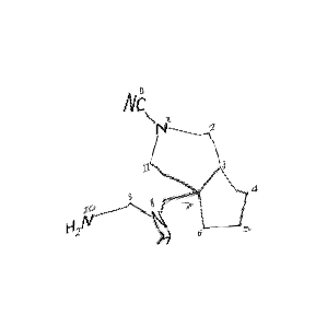 N#CN1CC2CCCC2(NCN)C1